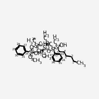 CCCCCC[Si](C)(O)[Si](C)(O[Si](OC)(OC)O[Si](C)(C)O[Si](O)(OC)c1ccccc1)c1ccccc1